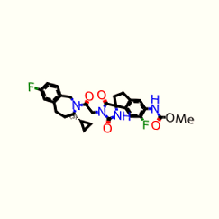 COC(=O)Nc1cc2c(cc1F)C1(CC2)NC(=O)N(CC(=O)N2Cc3ccc(F)cc3CC[C@H]2C2CC2)C1=O